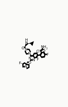 Nc1cc2c(-c3c(Cl)cc4c(N5CCN(C(=O)[C@@H]6N[C@H]6C6CC6)CC5)nc(OC[C@@]56CCCN5C[C@H](F)C6)nc4c3F)ccc(F)c2s1